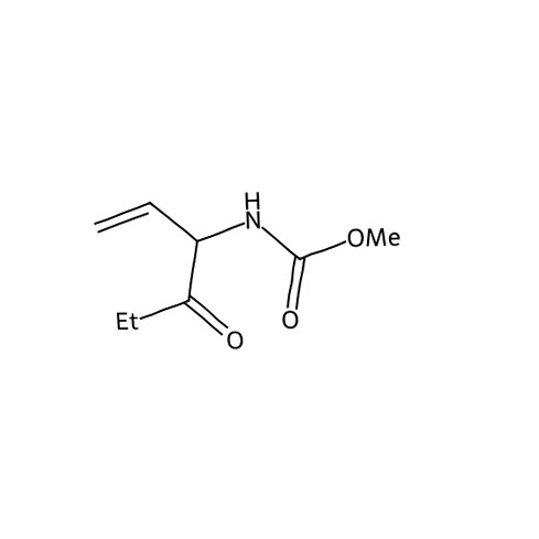 C=CC(NC(=O)OC)C(=O)CC